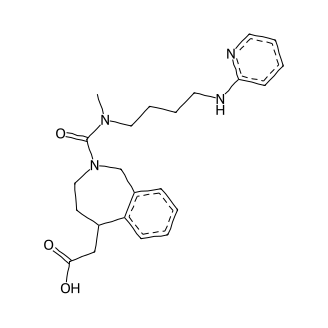 CN(CCCCNc1ccccn1)C(=O)N1CCC(CC(=O)O)c2ccccc2C1